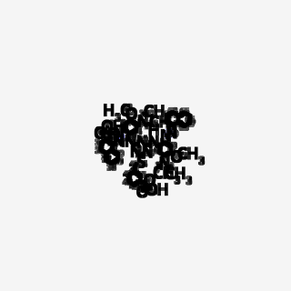 CCN(CC)c1cc(Nc2nc(Nc3cc(N(CC)CC)c(OC)cc3/N=N/c3c(S(=O)(=O)O)ccc4ccccc34)nc(SCc3cccc(S(=O)(=O)O)c3)n2)c(/N=N/c2cccc3ccccc23)cc1OC